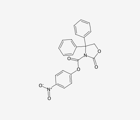 O=C1OCC(c2ccccc2)(c2ccccc2)N1C(=O)Oc1ccc([N+](=O)[O-])cc1